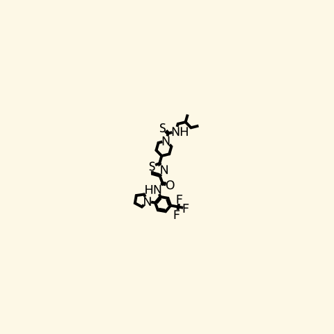 CCC(C)CNC(=S)N1CCC(c2nc(C(=O)Nc3cc(C(F)(F)F)ccc3N3CCCC3)cs2)CC1